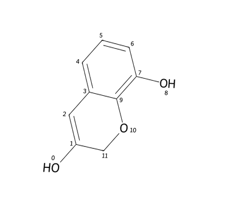 OC1=Cc2cccc(O)c2OC1